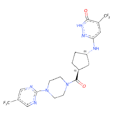 O=C([C@H]1CC[C@H](Nc2cc(C(F)(F)F)c(=O)[nH]n2)C1)N1CCN(c2ncc(C(F)(F)F)cn2)CC1